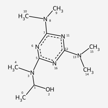 CC(O)N(C)c1nc(N(C)C)nc(N(C)C)n1